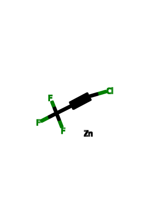 FC(F)(F)C#CCl.[Zn]